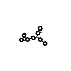 c1ccc(-c2ccc(N(c3ccc(-c4ccc5c(c4)C4(CC6CCC4C6)c4ccccc4-5)cc3)c3ccc4c(c3)sc3ccccc34)cc2)cc1